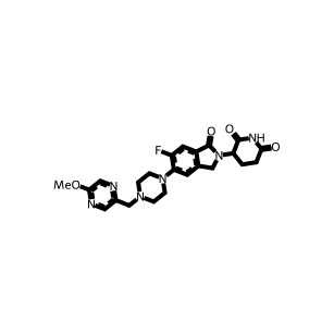 COc1cnc(CN2CCN(c3cc4c(cc3F)C(=O)N(C3CCC(=O)NC3=O)C4)CC2)cn1